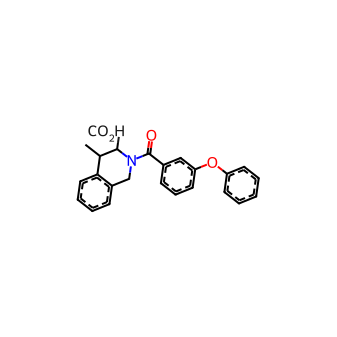 CC1c2ccccc2CN(C(=O)c2cccc(Oc3ccccc3)c2)C1C(=O)O